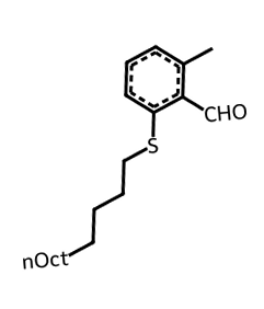 CCCCCCCCCCCCSc1cccc(C)c1C=O